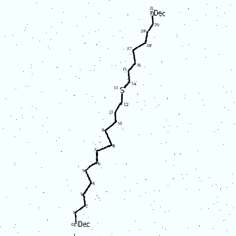 CCCCCCCCCCCCCCCCCCCCC[CH]SCCCCCCCCCCCCCCCCC